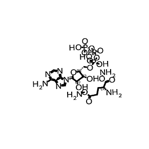 NOC(=O)CC[C@H](N)C(=O)ON.Nc1ncnc2c1ncn2[C@@H]1O[C@H](COP(=O)(O)OP(=O)(O)OP(=O)(O)O)[C@@H](O)[C@H]1O